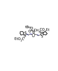 CCOC(=O)CN1/C(=C/C=C2\CCC(/C=C/c3sc4ccccc4[n+]3CC(=O)OCC)=C2N(C)C(=O)OC(C)(C)C)Sc2ccccc21